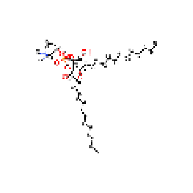 CCCCCCCCCCCCCC(=O)C(OP(=O)([O-])OC(CC)C[N+](C)(C)C)(C(=O)CCCCCCCCCCCCC)[C@@H](O)CO